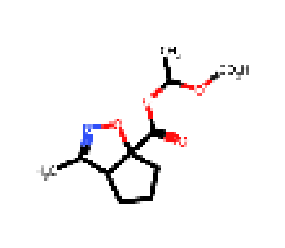 CC1=NOC2(C(=O)OC(C)OC(=O)O)CCCC12